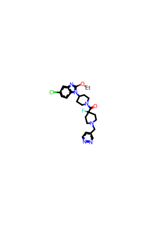 CCOc1nc2cc(Cl)ccc2n1C1CCN(C(=O)C2(F)CCN(Cc3ccnnc3)CC2)CC1